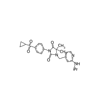 CC(C)Nc1cc(CN2C(=O)N(c3ccc(S(=O)(=O)C4CC4)cc3)C(=O)C2(C)C)ccn1